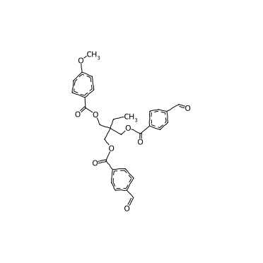 CCC(COC(=O)c1ccc(C=O)cc1)(COC(=O)c1ccc(C=O)cc1)COC(=O)c1ccc(OC)cc1